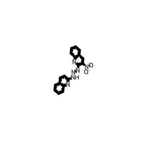 O=[N+]([O-])c1cc2ccccc2nc1N=NNc1ccc2ccccc2n1